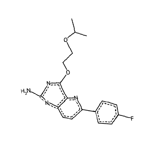 CC(C)OCCOc1nc(N)nc2ccc(-c3ccc(F)cc3)nc12